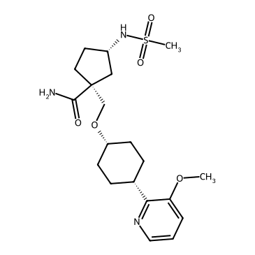 COc1cccnc1[C@H]1CC[C@@H](OC[C@]2(C(N)=O)CC[C@H](NS(C)(=O)=O)C2)CC1